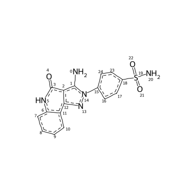 Nc1c2c(=O)[nH]c3ccccc3c2nn1-c1ccc(S(N)(=O)=O)cc1